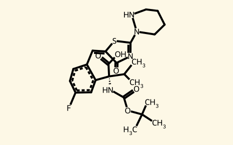 CC(C)[C@](NC(=O)OC(C)(C)C)(C(=O)O)c1cc(F)ccc1C=C1SC(N2CCCCN2)=NC1=O